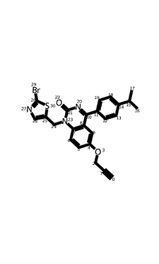 C#CCOc1ccc2c(c1)c(-c1ccc(C(C)C)cc1)nc(=O)n2Cc1cnc(Br)s1